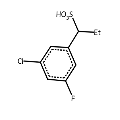 CCC(c1cc(F)cc(Cl)c1)S(=O)(=O)O